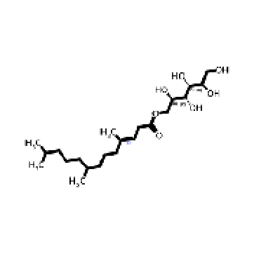 C/C(=C\CC(=O)OC[C@@H](O)[C@@H](O)[C@H](O)[C@H](O)CO)CCCC(C)CCCC(C)C